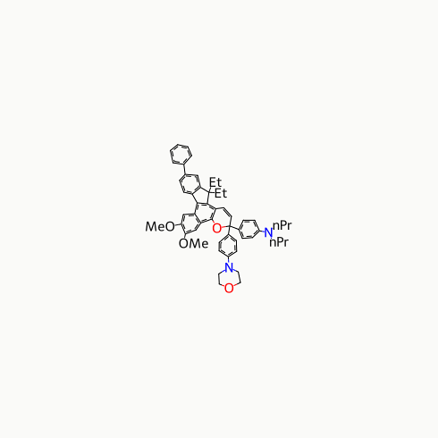 CCCN(CCC)c1ccc(C2(c3ccc(N4CCOCC4)cc3)C=Cc3c4c(c5cc(OC)c(OC)cc5c3O2)-c2ccc(-c3ccccc3)cc2C4(CC)CC)cc1